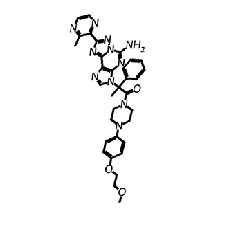 COCCOc1ccc(N2CCN(C(=O)C(C)(c3ccccc3)n3cnc4c3nc(N)n3nc(-c5nccnc5C)nc43)CC2)cc1